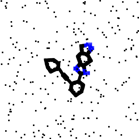 C(#Cc1ccccc1-c1nc2cc3c[nH]nc3cc2[nH]1)c1ccccc1